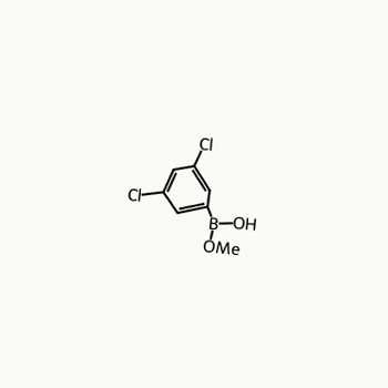 COB(O)c1cc(Cl)cc(Cl)c1